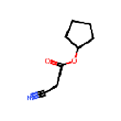 N#CCC(=O)OC1CCCC1